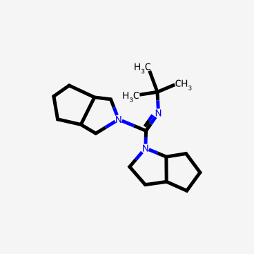 CC(C)(C)N=C(N1CC2CCCC2C1)N1CCC2CCCC21